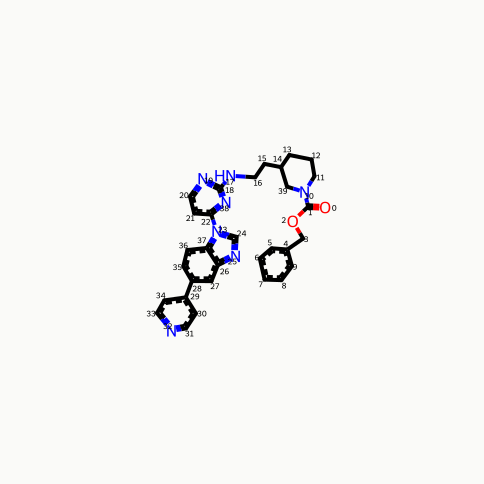 O=C(OCc1ccccc1)N1CCCC(CCNc2nccc(-n3cnc4cc(-c5ccncc5)ccc43)n2)C1